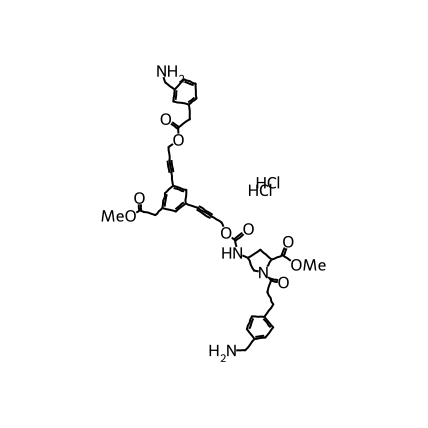 COC(=O)Cc1cc(C#CCOC(=O)Cc2cccc(CN)c2)cc(C#CCOC(=O)NC2CC(C(=O)OC)N(C(=O)CCc3ccc(CN)cc3)C2)c1.Cl.Cl